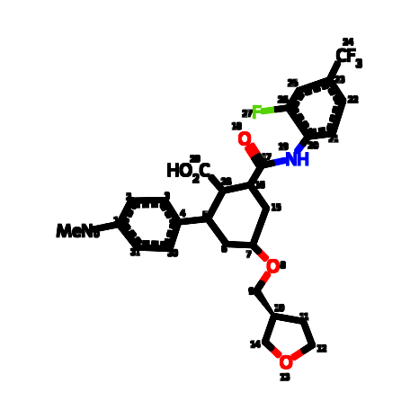 CNc1ccc(C2CC(OC[C@H]3CCOC3)CC(C(=O)Nc3ccc(C(F)(F)F)cc3F)C2C(=O)O)cc1